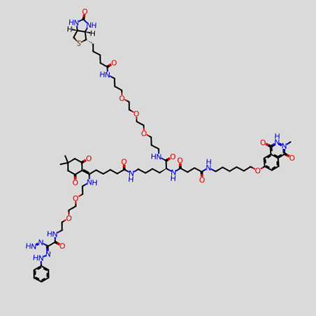 Cn1[nH]c(=O)c2cc(OCCCCCCNC(=O)CCC(=O)N[C@@H](CCCCNC(=O)CCCCC(NCCOCCOCCNC(=O)/C(N=N)=N/Nc3ccccc3)=C3C(=O)CC(C)(C)CC3=O)C(=O)NCCCOCCOCCOCCCNC(=O)CCCC[C@@H]3SC[C@@H]4NC(=O)N[C@@H]43)ccc2c1=O